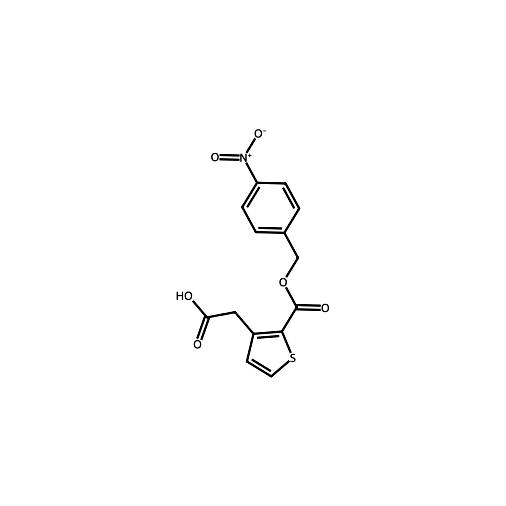 O=C(O)Cc1ccsc1C(=O)OCc1ccc([N+](=O)[O-])cc1